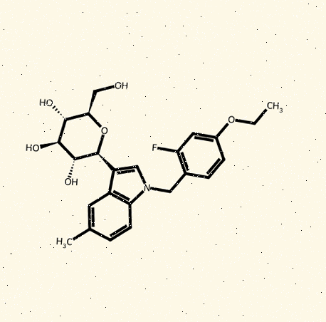 CCOc1ccc(Cn2cc([C@@H]3O[C@H](CO)[C@@H](O)[C@H](O)[C@H]3O)c3cc(C)ccc32)c(F)c1